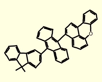 CC1(C)c2ccccc2-c2cc(-c3c4ccccc4c(-c4ccc5c6c(cccc46)Oc4ccccc4-5)c4ccccc34)ccc21